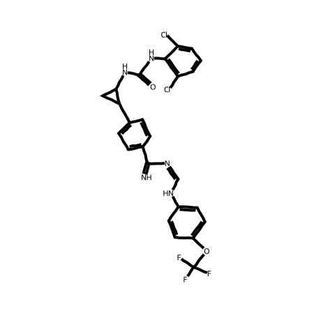 N=C(/N=C\Nc1ccc(OC(F)(F)F)cc1)c1ccc(C2CC2NC(=O)Nc2c(Cl)cccc2Cl)cc1